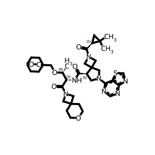 C[C@@H](OCC12CCC(CC1)OC2)[C@H](NC(=O)[C@@H]1CN(c2ncnc3ncsc23)CC12CN(C(=O)[C@H]1CC1(C)C)C2)C(=O)N1CC2(CCOCC2)C1